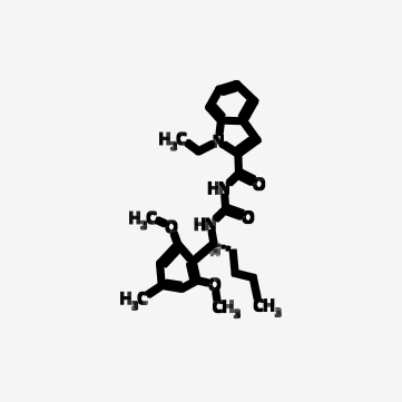 CCCC[C@@H](NC(=O)NC(=O)c1cc2ccccc2n1CC)c1c(OC)cc(C)cc1OC